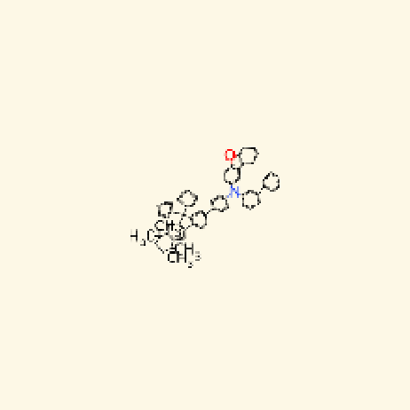 CC1(C)CCC(C)(C)c2cc3c(cc21)-c1ccc(-c2ccc(N(c4cccc(-c5ccccc5)c4)c4ccc5oc6ccccc6c5c4)cc2)cc1C3(c1ccccc1)c1ccccc1